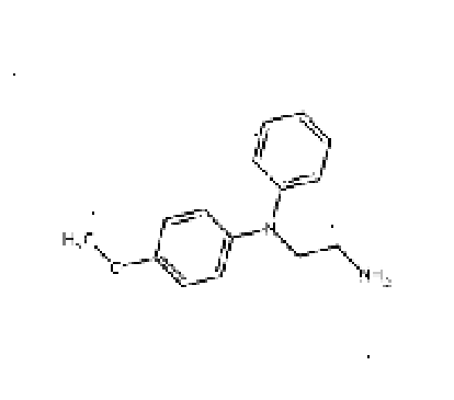 COc1ccc(N(CCN)c2ccccc2)cc1